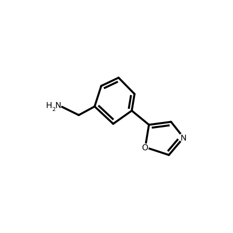 NCc1cccc(-c2cnco2)c1